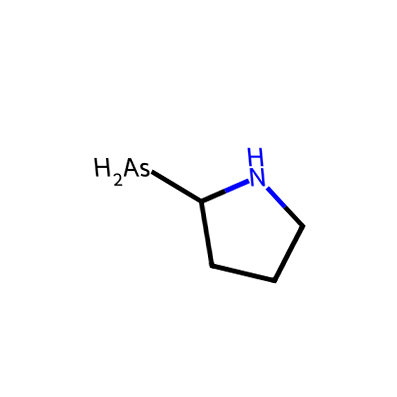 [AsH2]C1CCCN1